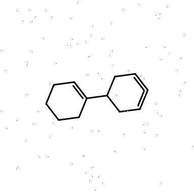 C1=CCC(C2=CCCCC2)CC=1